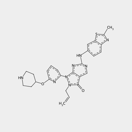 C=CCn1c(=O)c2cnc(Nc3ccc4nc(C)sc4c3)nc2n1-c1cccc(OC2CCNCC2)n1